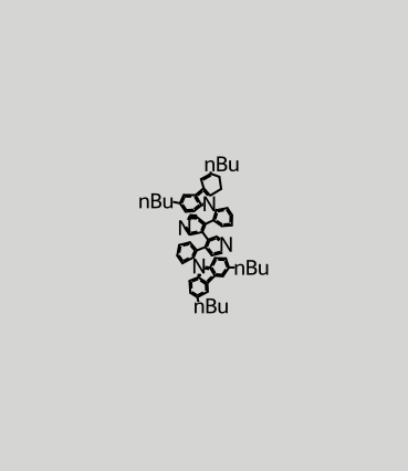 CCCCC1=Cc2c(n(-c3ccccc3-c3c#cncc3-c3cnccc3-c3ccccc3-n3c4ccc(CCCC)cc4c4cc(CCCC)ccc43)c3ccc(CCCC)cc23)CC1